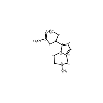 CCC(CC(C)=O)c1ncc2n1CCN(C)C2